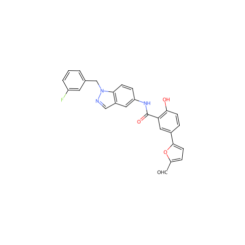 O=Cc1ccc(-c2ccc(O)c(C(=O)Nc3ccc4c(cnn4Cc4cccc(F)c4)c3)c2)o1